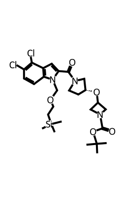 CC(C)(C)OC(=O)N1CC(O[C@@H]2CCN(C(=O)c3cc4c(Cl)c(Cl)ccc4n3COCC[Si](C)(C)C)C2)C1